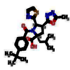 Cc1nnc([C@H]2C[C@@](CC(C)C)(C(=O)O)N(C(=O)c3ccc(C(C)(C)C)cc3)[C@H]2c2nccs2)o1